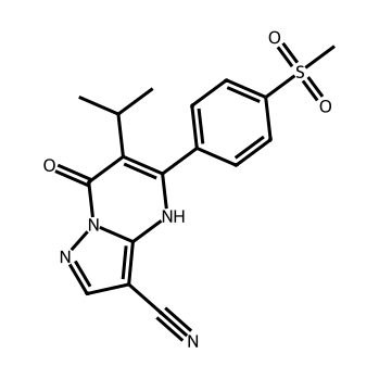 CC(C)c1c(-c2ccc(S(C)(=O)=O)cc2)[nH]c2c(C#N)cnn2c1=O